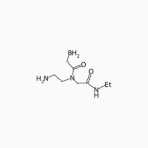 BCC(=O)N(CCN)CC(=O)NCC